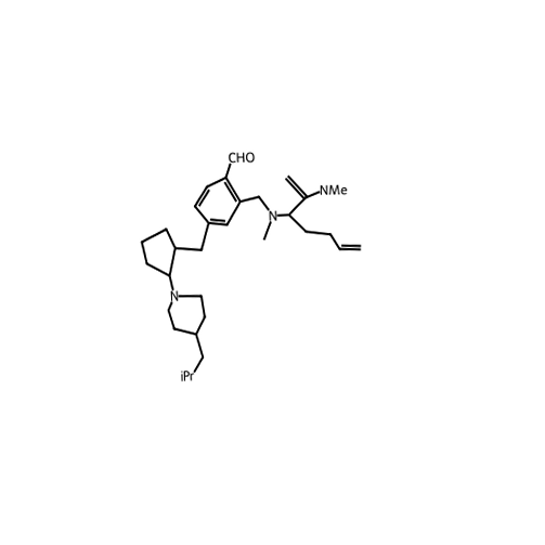 C=CCCC(C(=C)NC)N(C)Cc1cc(CC2CCCC2N2CCC(CC(C)C)CC2)ccc1C=O